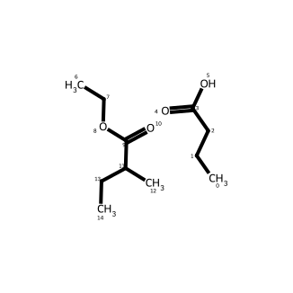 CCCC(=O)O.CCOC(=O)C(C)CC